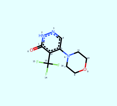 O=c1[nH]ncc(N2CCOCC2)c1C(F)(F)F